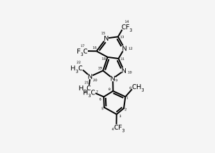 Cc1cc(C(F)(F)F)cc(C)c1-n1nc2nc(C(F)(F)F)nc(C(F)(F)F)c2c1N(C)C